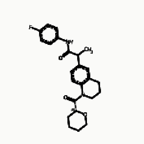 CC(C(=O)Nc1ccc(F)cc1)c1ccc2c(c1)CCCN2C(=O)[C@H]1CCCCO1